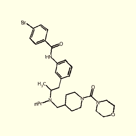 CCCN(CC1CCN(C(=O)N2CCOCC2)CC1)C(C)Cc1cccc(NC(=O)c2ccc(Br)cc2)c1